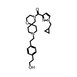 O=C(c1ccn(CC2CC2)n1)N1CCOC2(CCN(CCc3ccc(CCO)cc3)CC2)C1